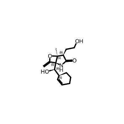 C=C1O[C@@]2(C)[C@@H](CCO)C(=O)N[C@@]12[C@H](O)[C@@H]1C=CCCC1